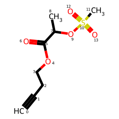 C#CCCOC(=O)C(C)OS(C)(=O)=O